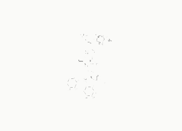 CON=C(C(=O)NC1C(=O)N2CC(C=CCI)(C(=O)OC(c3ccccc3)c3ccccc3)CS[C@H]12)c1nsc(N)n1